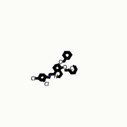 Clc1ccc(/C=C/C2=NCCc3c2ccc(OCc2ccccc2)c3OCc2ccccc2)c(Cl)c1